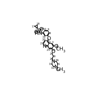 COc1cc2c(Oc3cccc(NS(=O)(=O)C4CC4)c3)ccnc2cc1OCCCN1CCN(C)CC1